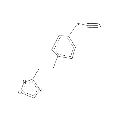 N#CSc1ccc(/C=C/c2ncon2)cc1